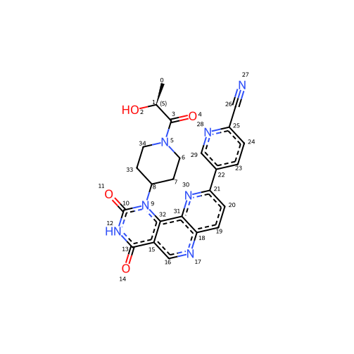 C[C@H](O)C(=O)N1CCC(n2c(=O)[nH]c(=O)c3cnc4ccc(-c5ccc(C#N)nc5)nc4c32)CC1